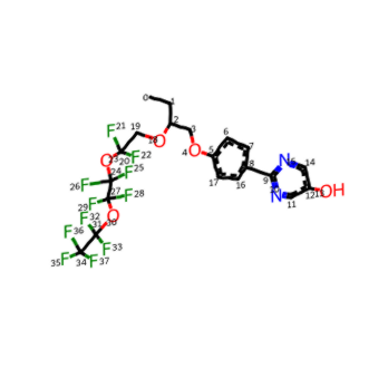 CCC(COc1ccc(-c2ncc(O)cn2)cc1)OCC(F)(F)OC(F)(F)C(F)(F)OC(F)(F)C(F)(F)F